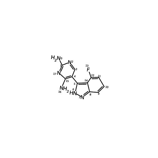 Nc1ncc(-c2[nH]nc3cccc(F)c23)c(N)n1